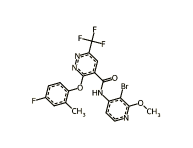 COc1nccc(NC(=O)c2cc(C(F)(F)F)nnc2Oc2ccc(F)cc2C)c1Br